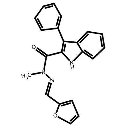 CN(N=Cc1ccco1)C(=O)c1[nH]c2ccccc2c1-c1ccccc1